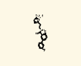 O=C(O)c1ccc(CCNC(=O)c2cc(-c3cccc(F)c3)ccc2F)s1